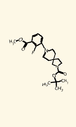 COC(=O)c1cccc(N2CCC3(CCN(C(=O)OC(C)(C)C)C3)CC2)c1F